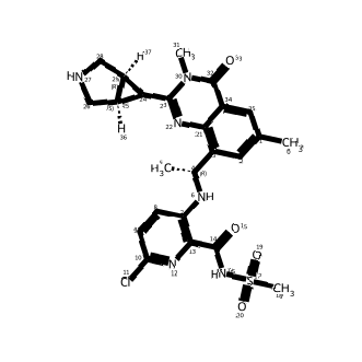 Cc1cc([C@@H](C)Nc2ccc(Cl)nc2C(=O)NS(C)(=O)=O)c2nc(C3[C@H]4CNC[C@@H]34)n(C)c(=O)c2c1